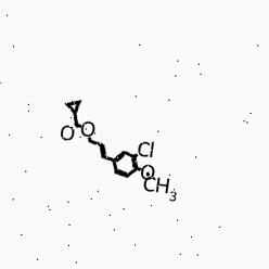 COc1ccc(C=CCOC(=O)C2CC2)cc1Cl